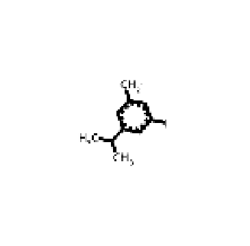 [CH2]c1cc(F)cc(C(C)C)c1